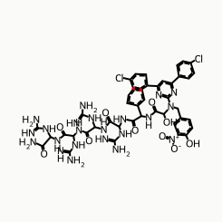 N=C(N)NC(NC(=O)C(NC(=N)N)NC(=O)C(NC(=N)N)NC(=O)C(NC(=N)N)NC(=O)C(NC(=O)C(O)N(Cc1ccc(O)c([N+](=O)[O-])c1)c1nc(-c2ccc(Cl)cc2)cc(-c2ccc(Cl)cc2)n1)c1ccccc1)C(N)=O